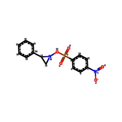 O=[N+]([O-])c1ccc(S(=O)(=O)ON2CC2c2ccccc2)cc1